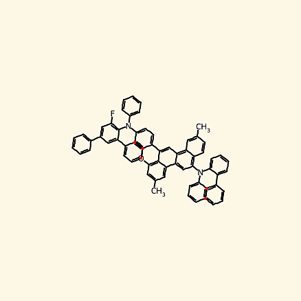 Cc1ccc2c(N(c3ccccc3)c3ccccc3-c3ccccc3)cc3c4cc(C)cc5c4c(cc3c2c1)-c1ccc(N(c2ccccc2)c2c(F)cc(-c3ccccc3)cc2-c2ccccc2)cc1O5